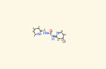 O=C(NCc1ccccn1)Nc1cc(I)ccn1